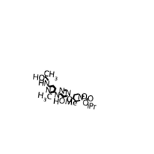 COc1c(Nc2ccc(NCC(C)O)nc2C)ncnc1OC1CCN(OC(=O)OC(C)C)CC1